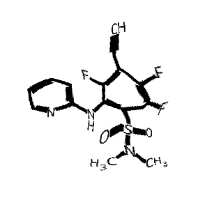 C#Cc1c(F)c(F)c(S(=O)(=O)N(C)C)c(Nc2ccccn2)c1F